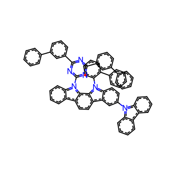 c1ccc(-c2cccc(-c3nc(-c4cccc(-c5ccccc5)c4)nc(-n4c5ccccc5c5ccc6c7cc(-n8c9ccccc9c9ccccc98)ccc7n(-c7ccccc7-c7ccccc7)c6c54)n3)c2)cc1